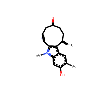 C=C1CCC(=O)C/C=C\c2c1c1cc(C(C)=O)c(O)cc1n2CCC